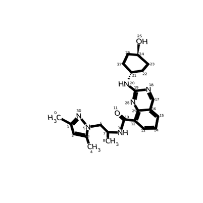 Cc1cc(C)n(CC(C)NC(=O)c2cccc3cnc(N[C@H]4CC[C@H](O)CC4)nc23)n1